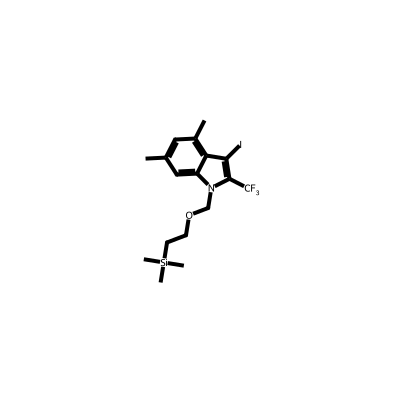 Cc1cc(C)c2c(I)c(C(F)(F)F)n(COCC[Si](C)(C)C)c2c1